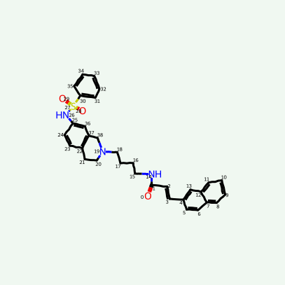 O=C(C=Cc1ccc2ccccc2c1)NCCCCN1CCc2ccc(NS(=O)(=O)c3ccccc3)cc2C1